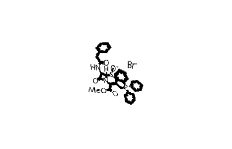 COC(=O)C1=C(C[P+](c2ccccc2)(c2ccccc2)c2ccccc2)C[S@+]([O-])[C@@H]2[C@H](NC(=O)Cc3ccccc3)C(=O)N12.[Br-]